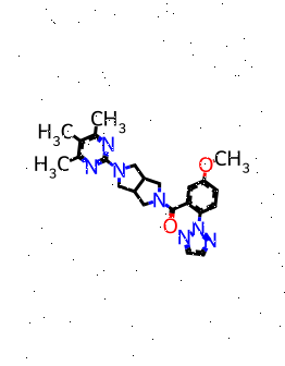 COc1ccc(-n2nccn2)c(C(=O)N2CC3CN(c4nc(C)c(C)c(C)n4)CC3C2)c1